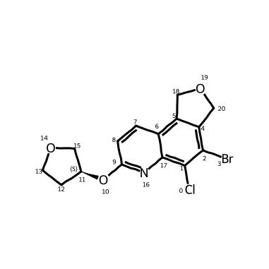 Clc1c(Br)c2c(c3ccc(O[C@H]4CCOC4)nc13)COC2